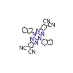 N#Cc1cc2nc3c(nc2cc1C#N)N(c1ccc2ccccc2c1)c1nc2cc(C#N)c(C#N)cc2nc1N3c1ccc2ccccc2c1